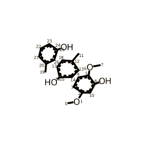 COc1ccc(OC)c(O)c1.Cc1ccc(O)cc1.Cc1cccc(O)c1